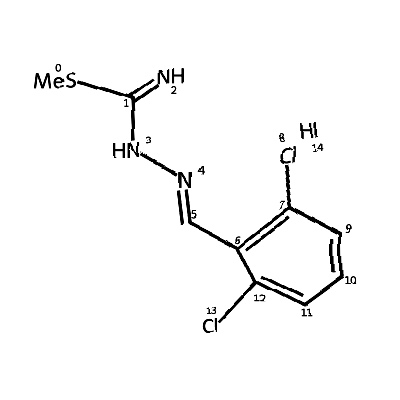 CSC(=N)NN=Cc1c(Cl)cccc1Cl.I